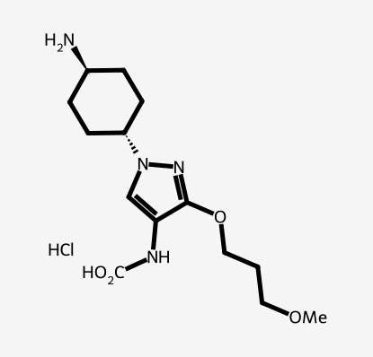 COCCCOc1nn([C@H]2CC[C@H](N)CC2)cc1NC(=O)O.Cl